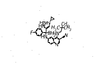 BC(Nc1ccc2ncc(C#N)c(NCC(C)(C)C)c2c1)(C1=CN(C2CC2)NN1)c1ccc(F)cc1